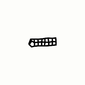 C1=C2CC3C4C5C6C7C8CC9CC%10C%11C%12C%13C%14C(C2)C13C4%14C5%13C6%12C7%11C98%10